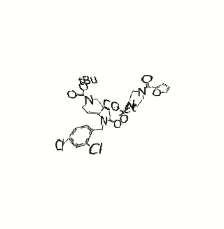 CCOC(=O)[C@@]12CN(C(=O)OC(C)(C)C)CC=C1N(Cc1ccc(Cl)cc1Cl)C(=O)[C@H]2CC(=O)N1CCN(C(=O)c2ccco2)CC1